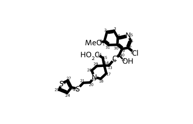 COc1ccc2ncc(Cl)c([C@@H](O)CCC3(CC(=O)O)CCN(CCSc4ccsc4)CC3)c2c1